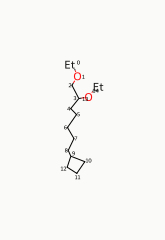 CCOCC(CCCCCC1CCC1)OCC